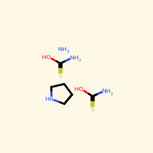 C1CCNC1.N.NC(O)=S.NC(O)=S